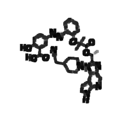 C[C@@H](OC(=O)C(C)(C)Oc1ccccc1/N=N/c1ccc(O)c(C(=O)O)c1)c1nc2cnc3[nH]ccc3c2n1N1CCC(CC#N)CC1